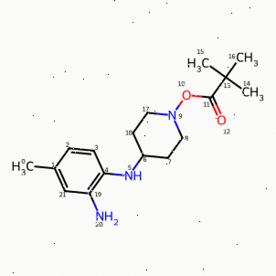 Cc1ccc(NC2CCN(OC(=O)C(C)(C)C)CC2)c(N)c1